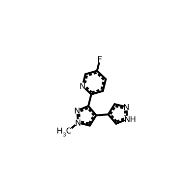 Cn1cc(-c2cn[nH]c2)c(-c2ccc(F)cn2)n1